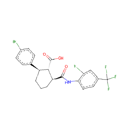 O=C(O)[C@@H]1[C@@H](C(=O)Nc2ccc(C(F)(F)F)cc2F)CCC[C@H]1c1ccc(Br)cc1